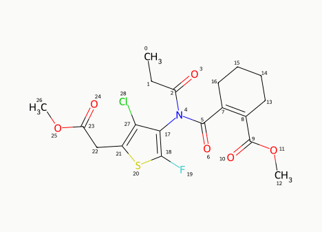 CCC(=O)N(C(=O)C1=C(C(=O)OC)CCCC1)c1c(F)sc(CC(=O)OC)c1Cl